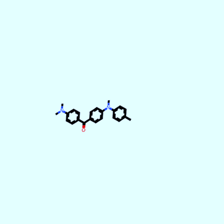 Cc1ccc(N(C)c2ccc(C(=O)c3ccc(N(C)C)cc3)cc2)cc1